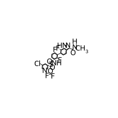 CNC(=O)c1n[nH]c2c(F)c(-c3c(F)ccc(NS(=O)(=O)c4cc(Cl)cnc4OC(F)F)c3F)ccc12